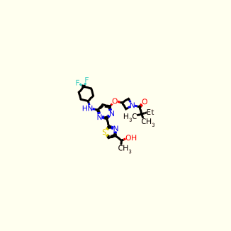 CCC(C)(C)C(=O)N1CC(Oc2cc(NC3CCC(F)(F)CC3)nc(-c3nc(C(C)O)cs3)n2)C1